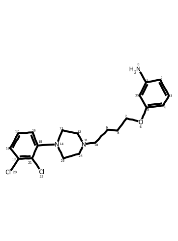 Nc1cccc(OCCCCN2CCN(c3cccc(Cl)c3Cl)CC2)c1